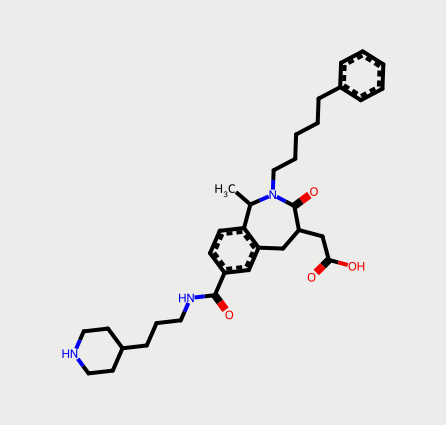 CC1c2ccc(C(=O)NCCCC3CCNCC3)cc2CC(CC(=O)O)C(=O)N1CCCCCc1ccccc1